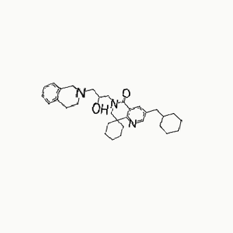 O=C1c2cc(CC3CCCCC3)cnc2C2(CCCCC2)CN1CC(O)CN1CCc2ccccc2C1